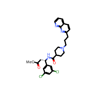 COC(=O)C[C@H](NC(=O)C1CCN(CCCc2ccc3cccnc3n2)CC1)c1cc(Cl)cc(Cl)c1